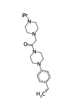 C=Cc1ccc(N2CCN(C(=O)CN3CCN(C(C)C)CC3)CC2)cc1